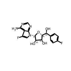 Nc1ncnc2c1c(F)cn2[C@@H]1O[C@H]([C@@H](O)c2ccc(F)cc2)[C@@H](O)[C@H]1O